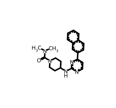 CN(C)C(=O)N1CCC(Nc2nccc(-c3ccc4ccccc4c3)n2)CC1